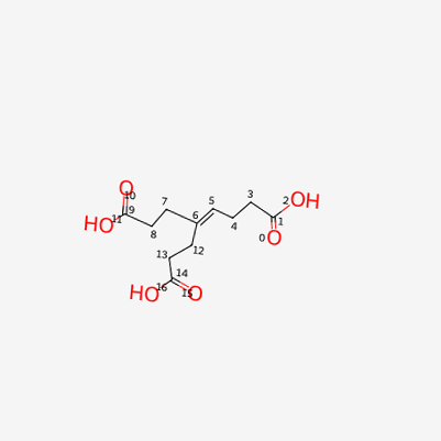 O=C(O)CCC=C(CCC(=O)O)CCC(=O)O